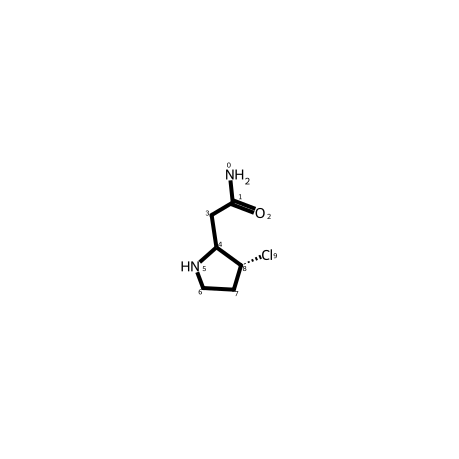 NC(=O)CC1NCC[C@H]1Cl